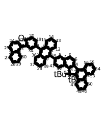 CC(C)(C)C1(C(C)(C)C)c2c(ccc3cc(-c4c5ccccc5c(-c5ccc6oc7ccc8ccccc8c7c6c5)c5ccccc45)ccc23)-c2c1c1ccccc1c1ccccc21